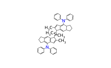 CC1=CC2=C(N(c3ccccc3)c3ccccc3)C3CCCC3C=C2C1[Si](C)(C)C1C(C)=Cc2c1cc1c(c2N(c2ccccc2)c2ccccc2)CCC1